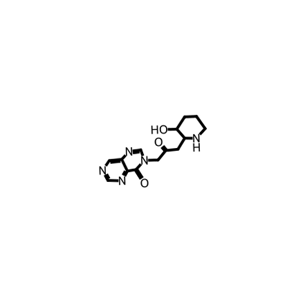 O=C(CC1NCCCC1O)Cn1cnc2cncnc2c1=O